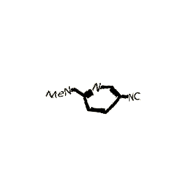 [C-]#[N+]c1ccc(NC)nc1